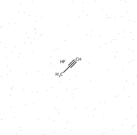 C#CC.F